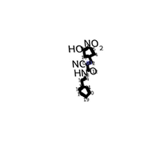 N#C/C(=C\c1ccc([N+](=O)[O-])c(O)c1)C(=O)NCCc1ccccc1